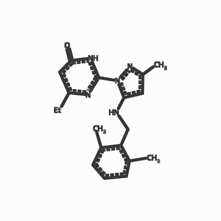 CCc1cc(=O)[nH]c(-n2nc(C)cc2NCc2c(C)cccc2C)n1